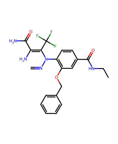 C=NN(/C(=C(\N)C(N)=O)C(F)(F)F)c1ccc(C(=O)NCC)cc1OCc1ccccc1